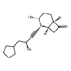 CC[C@]12CC[C@@H](O)[C@H](C#C[C@@H](O)CC3CCCC3)[C@H]1CC2=O